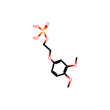 COc1ccc(OCCOP(=O)(O)O)cc1OC